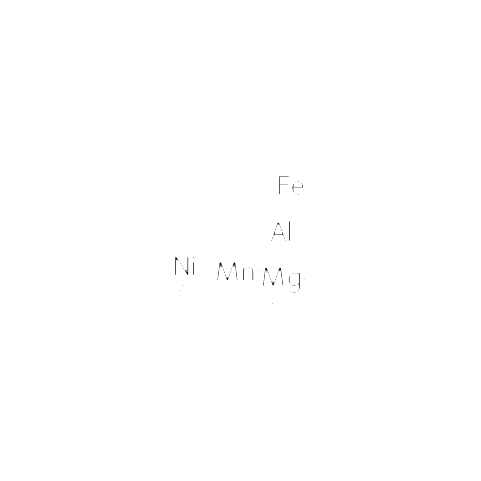 [Al].[Fe].[Mg].[Mn].[Ni]